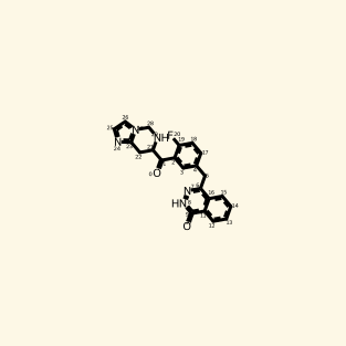 O=C(c1cc(Cc2n[nH]c(=O)c3ccccc23)ccc1F)C1Cc2nccn2CN1